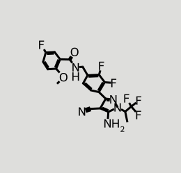 COc1ccc(F)cc1C(=O)NCc1ccc(-c2nn(C(C)C(F)(F)F)c(N)c2C#N)c(F)c1F